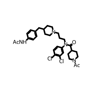 CC(=O)Nc1ccc(CC2CCN(CCCN(C(=O)C3CCN(C(C)=O)CC3)c3ccc(Cl)c(Cl)c3)CC2)cc1